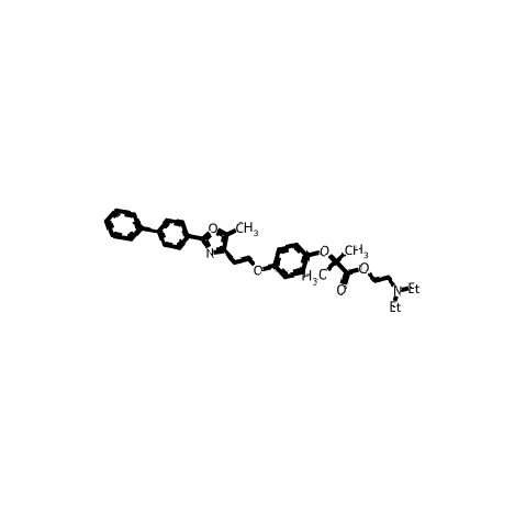 CCN(CC)CCOC(=O)C(C)(C)Oc1ccc(OCCc2nc(-c3ccc(-c4ccccc4)cc3)oc2C)cc1